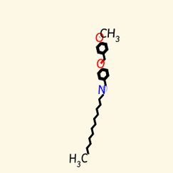 CCCCCCCCCCCCCC/N=C/c1ccc(OCc2ccc(OC)cc2)cc1